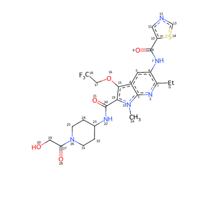 CCc1nc2c(cc1NC(=O)c1cncs1)c(OCC(F)(F)F)c(C(=O)NC1CCN(C(=O)CO)CC1)n2C